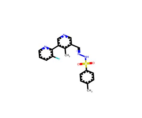 Cc1ccc(S(=O)(=O)N/N=C/c2cncc(-c3ncccc3F)c2C)cc1